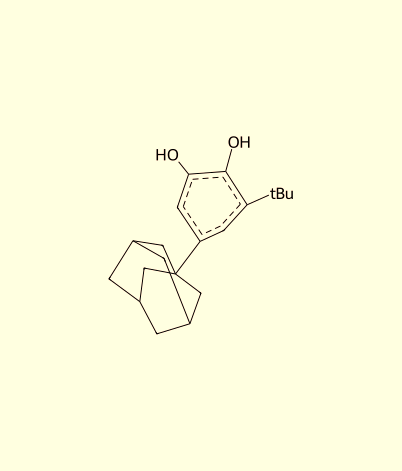 CC(C)(C)c1cc(C23CC4CC(CC(C4)C2)C3)cc(O)c1O